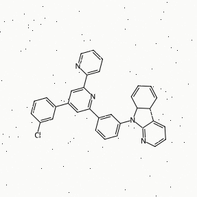 Clc1cccc(-c2cc(-c3cccc(N4c5ncccc5C5C=CC=CC54)c3)nc(-c3ccccn3)c2)c1